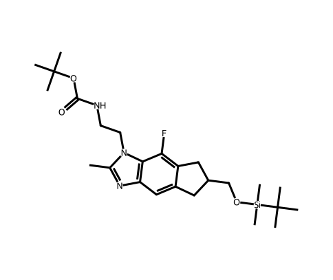 Cc1nc2cc3c(c(F)c2n1CCNC(=O)OC(C)(C)C)CC(CO[Si](C)(C)C(C)(C)C)C3